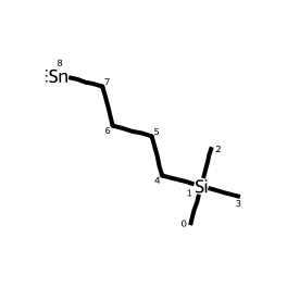 C[Si](C)(C)CCC[CH2][Sn]